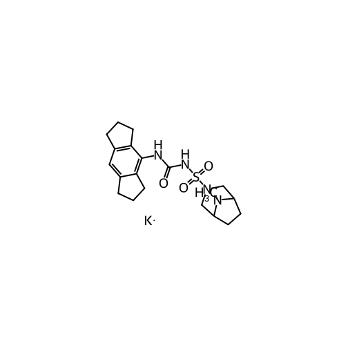 CN1C2CCC1CN(S(=O)(=O)NC(=O)Nc1c3c(cc4c1CCC4)CCC3)C2.[K]